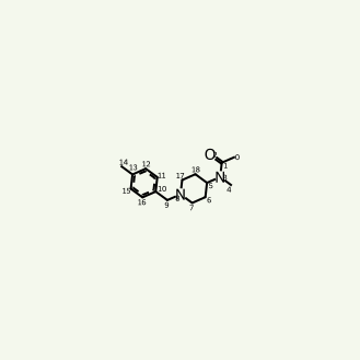 CC(=O)N(C)C1CCN(Cc2ccc(C)cc2)CC1